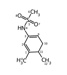 CC1=CC(NS(C)(=O)=O)=CCC1C